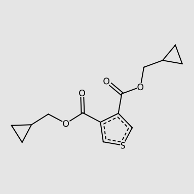 O=C(OCC1CC1)c1cscc1C(=O)OCC1CC1